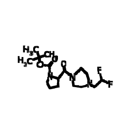 CC(C)(C)OC(=O)N1CCCC1C(=O)N1CCN(CC(F)F)CC1